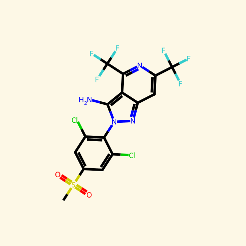 CS(=O)(=O)c1cc(Cl)c(-n2nc3cc(C(F)(F)F)nc(C(F)(F)F)c3c2N)c(Cl)c1